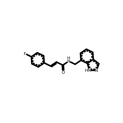 O=C(C=Cc1ccc(F)cc1)NCc1cccc2cn[nH]c12